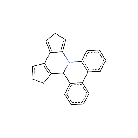 C1=CC2=C(C1)C1c3ccccc3-c3ccccc3N1C1=CCC=C12